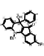 CCN1C2=C(C(=O)c3cc(C(C)C)ccc32)C(O)(c2ccccc2)c2ccccc21